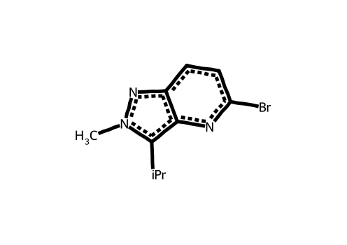 CC(C)c1c2nc(Br)ccc2nn1C